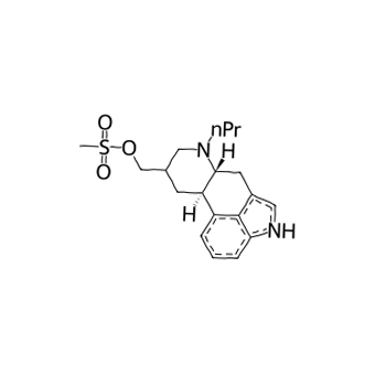 CCCN1CC(COS(C)(=O)=O)C[C@@H]2c3cccc4[nH]cc(c34)C[C@H]21